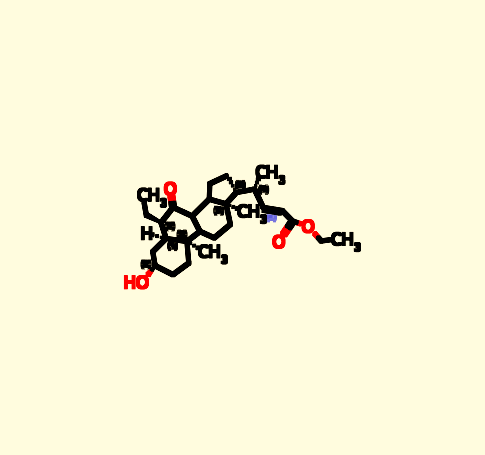 CCOC(=O)/C=C/[C@@H](C)[C@H]1CCC2C3C(=O)[C@H](CC)[C@@H]4C[C@H](O)CC[C@]4(C)C3CC[C@@]21C